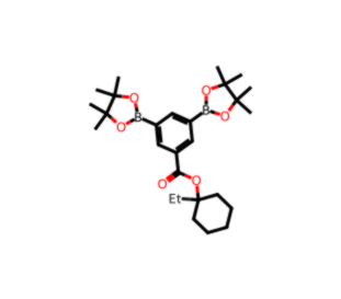 CCC1(OC(=O)c2cc(B3OC(C)(C)C(C)(C)O3)cc(B3OC(C)(C)C(C)(C)O3)c2)CCCCC1